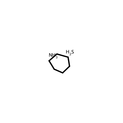 C1CCCCC1.N.S